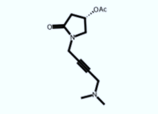 CC(=O)O[C@H]1CC(=O)N(CC#CCN(C)C)C1